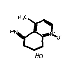 Cc1cc[n+]([O-])c2c1C(=N)CCC2.Cl